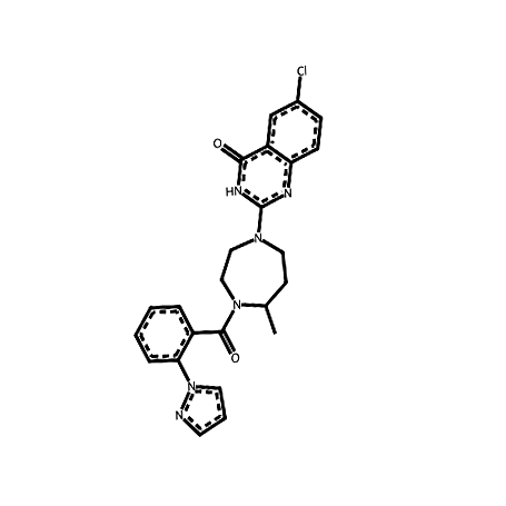 CC1CCN(c2nc3ccc(Cl)cc3c(=O)[nH]2)CCN1C(=O)c1ccccc1-n1cccn1